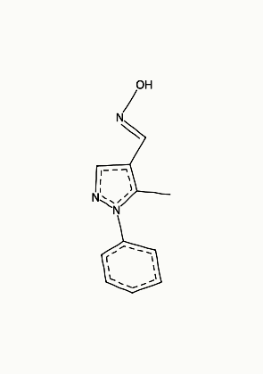 Cc1c(/C=N/O)cnn1-c1ccccc1